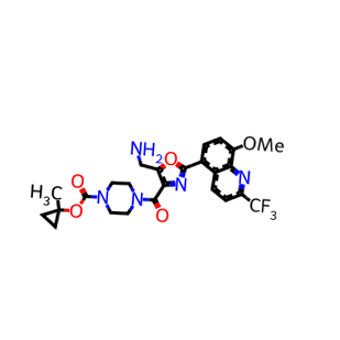 COc1ccc(-c2nc(C(=O)N3CCN(C(=O)OC4(C)CC4)CC3)c(CN)o2)c2ccc(C(F)(F)F)nc12